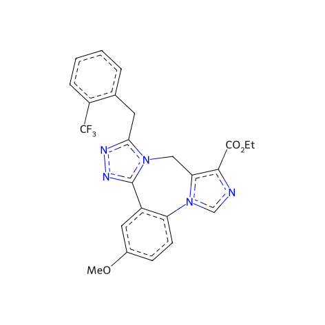 CCOC(=O)c1ncn2c1Cn1c(Cc3ccccc3C(F)(F)F)nnc1-c1cc(OC)ccc1-2